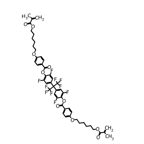 C=C(C)C(=O)OCCCCCCOc1ccc(C(=O)Oc2c(F)cc(C(c3cc(F)c(OC(=O)c4ccc(OCCCCCCOC(=O)C(=C)C)cc4)c(F)c3)(C(F)(F)F)C(F)(F)F)cc2F)cc1